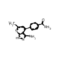 Cc1cc(-c2ccc(C(N)=O)cc2)c2c(N)n[nH]c2n1